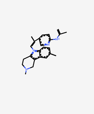 C=C(C)Nc1ccc(/C(C)=C\n2c3c(c4cc(C)ccc42)CN(C)CC3)cn1